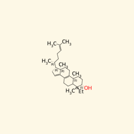 CC[C@@]1(C)C2CCC3=C(CC[C@@]4(C)C3=CC[C@@H]4[C@H](C)CCC=C(C)C)[C@@]2(C)CC[C@@H]1O